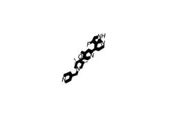 Cc1cc(-c2ccnc3[nH]cc(F)c23)ncc1[C@@]1(O)[C@H](C)CN(Cc2ccncc2)C[C@@H]1C